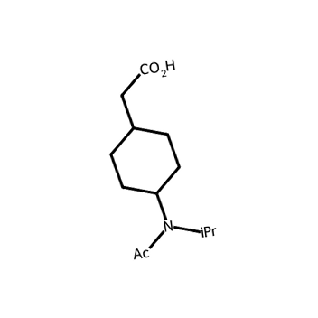 CC(=O)N(C(C)C)C1CCC(CC(=O)O)CC1